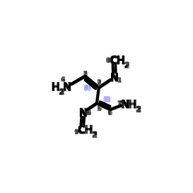 C=NC(=C/N)/C(=C\N)N=C